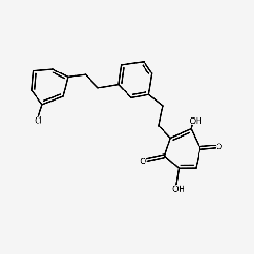 O=C1C=C(O)C(=O)C(CCc2cccc(CCc3cccc(Cl)c3)c2)=C1O